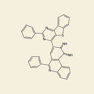 N=C1C(=N)c2c(c(-c3ccccc3)nc3ccccc23)C=C1c1nc(-c2ccccc2)nc2c1sc1ccccc12